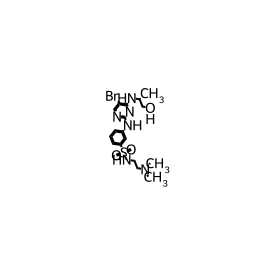 C[C@H](CO)Nc1nc(Nc2cccc(S(=O)(=O)NCCN(C)C)c2)ncc1Br